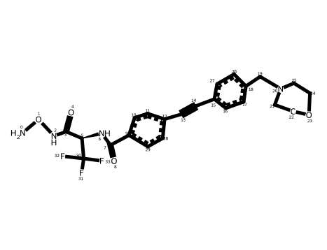 NONC(=O)[C@@H](NC(=O)c1ccc(C#Cc2ccc(CN3CCOCC3)cc2)cc1)C(F)(F)F